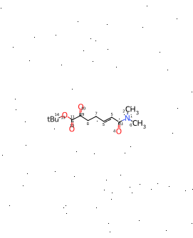 CN(C)C(=O)C=CCCC(=O)C(=O)OC(C)(C)C